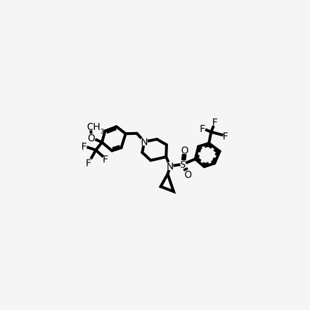 COC1(C(F)(F)F)C=CC(CN2CCC(N(C3CC3)S(=O)(=O)c3cccc(C(F)(F)F)c3)CC2)C=C1